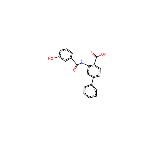 O=C(Nc1cc(-c2ccccc2)ccc1C(=O)O)c1cccc(O)c1